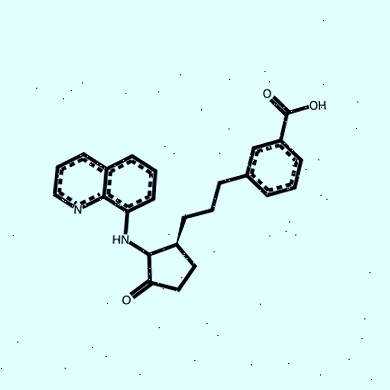 O=C(O)c1cccc(CCC[C@H]2CCC(=O)C2Nc2cccc3cccnc23)c1